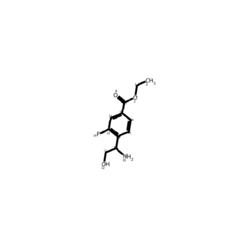 CCOC(=O)c1ccc(C(N)CO)c(F)c1